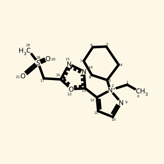 CC[N+]1(C2CCCCC2)N=CC=C1c1nnc(CS(C)(=O)=O)o1